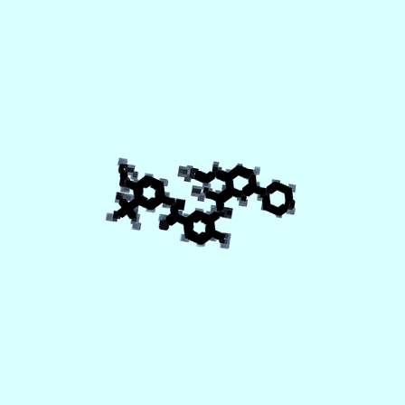 C=C/N=C1/C=NC(N2CCOCC2)=N/C1=C(/N)Nc1cc(C(=O)Nc2ccc(OC)c(C(F)(F)F)c2)ccc1Cl